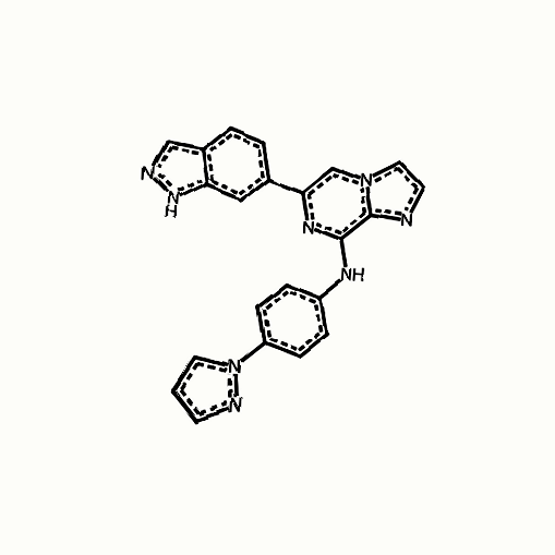 c1cnn(-c2ccc(Nc3nc(-c4ccc5cn[nH]c5c4)cn4ccnc34)cc2)c1